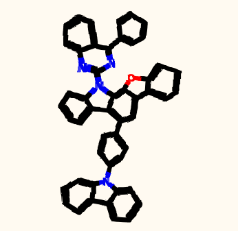 c1ccc(-c2nc(-n3c4ccccc4c4c(-c5ccc(-n6c7ccccc7c7ccccc76)cc5)cc5c6ccccc6oc5c43)nc3ccccc23)cc1